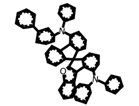 c1ccc(-c2cccc(N(c3ccccc3)c3cccc4c3-c3ccccc3C43c4cccc(N(c5ccccc5)c5ccccc5)c4-c4c3oc3ccccc43)c2)cc1